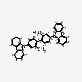 Cc1cc(-n2c3c(c4c2CCC=C4)CCC=C3)ccc1-c1ccc(-n2c3ccccc3c3ccccc32)cc1C